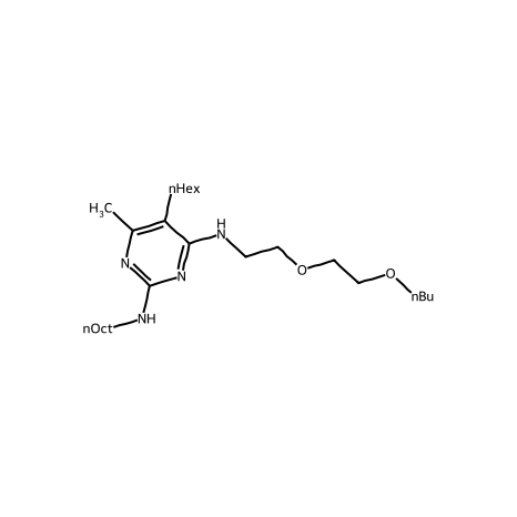 CCCCCCCCNc1nc(C)c(CCCCCC)c(NCCOCCOCCCC)n1